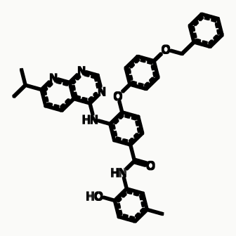 Cc1ccc(O)c(NC(=O)c2ccc(Oc3ccc(OCc4ccccc4)cc3)c(Nc3ncnc4nc(C(C)C)ccc34)c2)c1